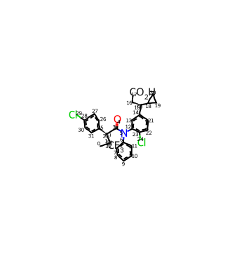 C[C@H]([C@H](C(=O)N(c1ccccc1)c1cc([C@@H](CC(=O)O)C2CC2)ccc1Cl)c1ccc(Cl)cc1)C(F)(F)F